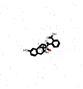 CN1CC[C@]2(C)c3cc(O)ccc3C[C@@H]1[C@H]2N(C)C(=O)c1ccccc1C(=O)O